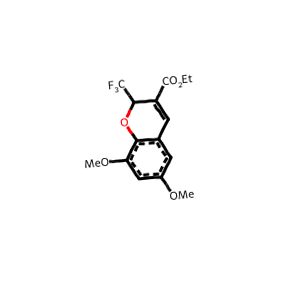 CCOC(=O)C1=Cc2cc(OC)cc(OC)c2OC1C(F)(F)F